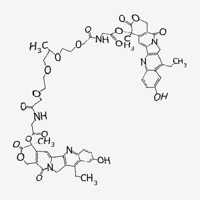 CCc1c2c(nc3ccc(O)cc13)-c1cc3c(c(=O)n1C2)COC(=O)[C@@]3(C)OC(=O)CNC(=O)COCCOCC(C)OCCOCC(=O)NCC(=O)O[C@]1(C)C(=O)OCc2c1cc1n(c2=O)Cc2c-1nc1ccc(O)cc1c2CC